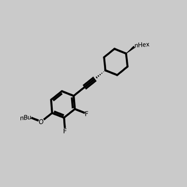 CCCCCC[C@H]1CC[C@H](C#Cc2ccc(OCCCC)c(F)c2F)CC1